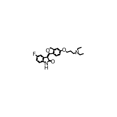 CCN(CC)CCCOc1ccc2c(c1)COC2=C1C(=O)Nc2ccc(F)cc21